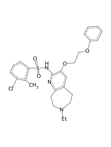 CCN1CCc2cc(OCCOc3ccccc3)c(NS(=O)(=O)c3cccc(Cl)c3C)nc2CC1